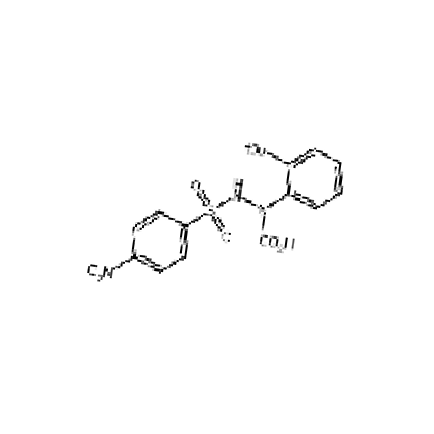 CC(C)(C)c1ccccc1N(NS(=O)(=O)c1ccc([N+](=O)[O-])cc1)C(=O)O